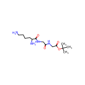 CC(C)(C)OC(=O)CNC(=O)CNC(=O)C(N)CCCCN